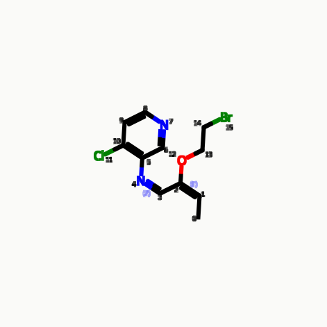 C/C=C(\C=N/c1cnccc1Cl)OCCBr